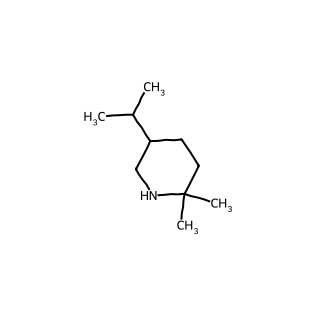 CC(C)C1CCC(C)(C)NC1